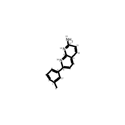 Cc1cccc(-c2ccc3ccc(N)nc3n2)c1